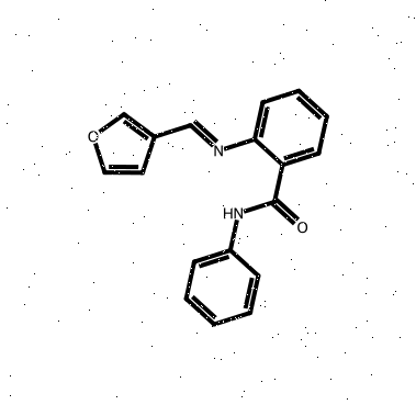 O=C(Nc1ccccc1)c1ccccc1N=Cc1ccoc1